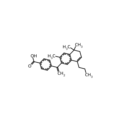 C=C(c1ccc(C(=O)O)cc1)c1cc2c(cc1C)C(C)(C)CC=C2CCC